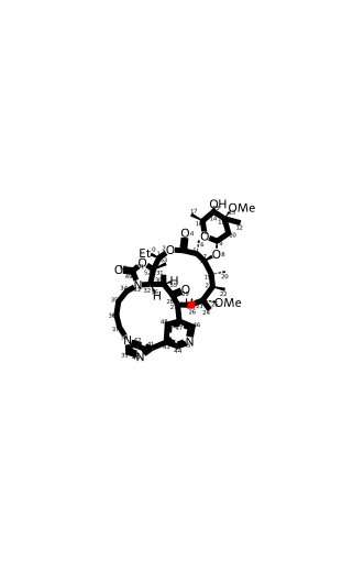 CC[C@H]1OC(=O)[C@H](C)[C@@H](O[C@H]2C[C@@](C)(OC)[C@@H](O)[C@H](C)O2)[C@H](C)[C@@H](C)[C@](C)(OC)C[C@@H]2C(=O)[C@H](C)[C@H]3N(CCCCn4cnc(c4)-c4cncc2c4)C(=O)O[C@]13C